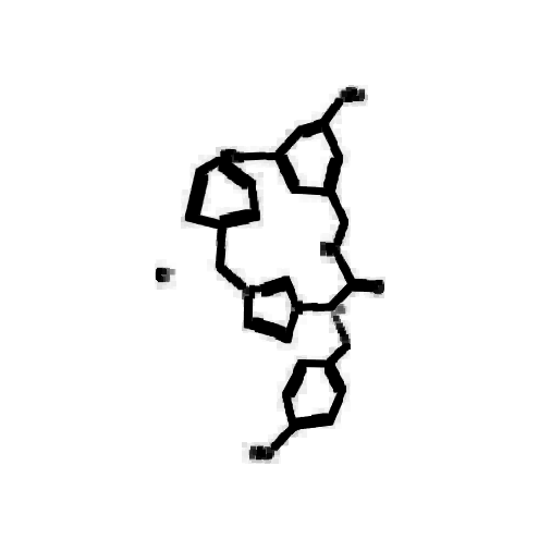 CC(C)(C)c1cc(CNC(=O)[C@H](Cc2ccc(O)cc2)n2cc[n+](Cc3ccccc3)c2)cc(C(C)(C)C)c1.[Cl-]